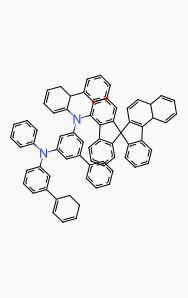 C1=CCCC(c2cccc(N(c3ccccc3)c3cc(-c4ccccc4)cc(N(C4=CC=CCC4c4ccccc4)c4cccc5c4-c4ccccc4C54C5=C(c6ccccc64)C4C=CC=CC4C=C5)c3)c2)=C1